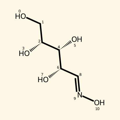 OC[C@@H](O)[C@H](O)[C@@H](O)/C=N/O